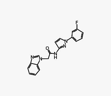 O=C(Cn1cnc2ccccc21)Nc1ccn(-c2cccc(F)c2)n1